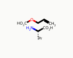 C=CCOC(=O)O.CC(C)[C@H](N)C(=O)O